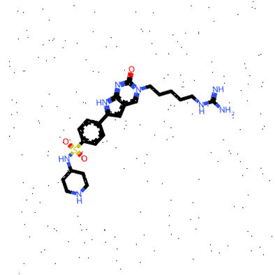 N=C(N)NCCCCCn1cc2cc(-c3ccc(S(=O)(=O)NC4CCNCC4)cc3)[nH]c2nc1=O